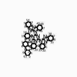 C1=CC2Sc3c(cccc3[Si](c3ccccc3)(c3ccccc3)c3nc(-n4c5ccccc5n5c6ccccc6nc45)nc(-n4c5ccccc5n5c6ccccc6nc45)n3)C2C=C1